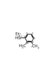 CC[SiH]c1cccc(C)c1C